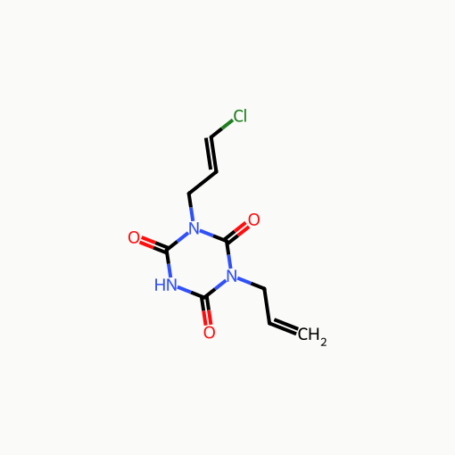 C=CCn1c(=O)[nH]c(=O)n(C/C=C/Cl)c1=O